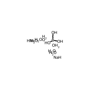 O.O.O.O.O.O.OB(O)O.[NaH].[NaH]